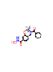 C[C@H]1COc2cc(C(=O)NO)ccc2CN1C(=O)C1CCCCC1